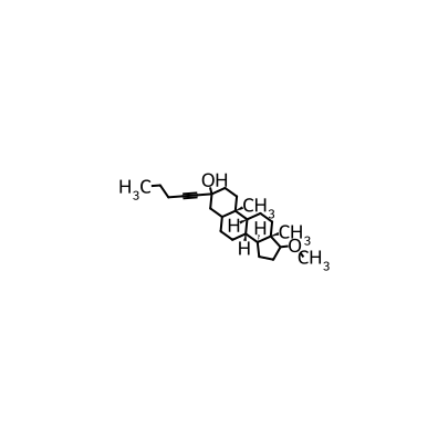 CCCC#CC1(O)CC[C@@]2(C)C(CC[C@@H]3[C@H]2CC[C@]2(C)C(OC)CC[C@@H]32)C1